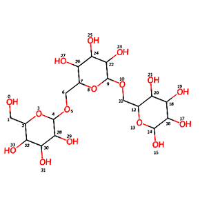 OCC1OC(OCC2OC(OCC3OC(O)C(O)C(O)C3O)C(O)C(O)C2O)C(O)C(O)C1O